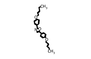 CC/C=C/COc1ccc(-c2cnc(-c3ccc(OC/C=C/CC)cc3)o2)cc1